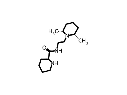 C[C@@H]1CCC[C@H](C)N1CCNC(=O)C1CCCCN1